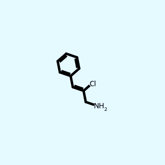 NC/C(Cl)=C/c1ccccc1